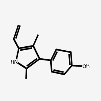 C=Cc1[nH]c(C)c(-c2ccc(O)cc2)c1C